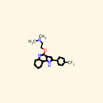 CN(C)CCOc1nc2ccccc2c2[nH]c(-c3ccc(C(F)(F)F)cc3)cc12